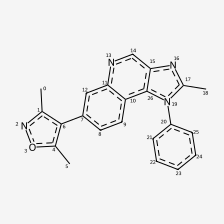 Cc1noc(C)c1-c1ccc2c(c1)ncc1nc(C)n(-c3ccccc3)c12